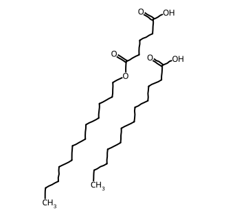 CCCCCCCCCCCC(=O)O.CCCCCCCCCCCCOC(=O)CCCC(=O)O